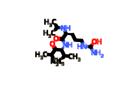 CC(C)N[C@@H](CCCNC(N)O)C(=O)N[C@H](C(=O)C(C)C)C(C)C